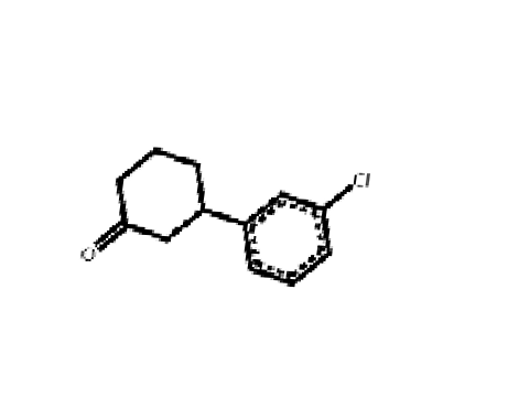 O=C1CCCC(c2cccc(Cl)c2)C1